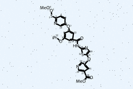 COOSc1ccc(Oc2cc(OC(C)C)cc(C(=O)Nc3ncc(Oc4cncc(C(=O)OC)c4)s3)c2)cn1